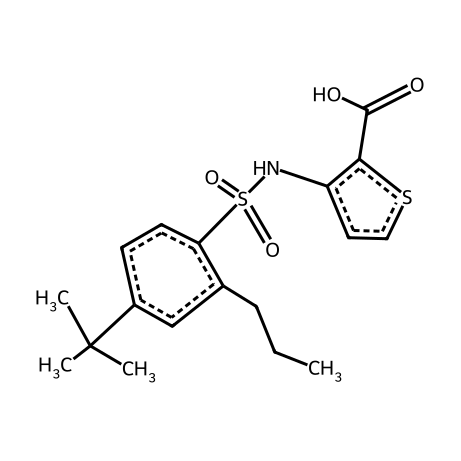 CCCc1cc(C(C)(C)C)ccc1S(=O)(=O)Nc1ccsc1C(=O)O